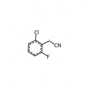 N#C[CH]c1c(F)cccc1Cl